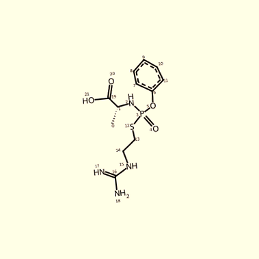 C[C@@H](NP(=O)(Oc1ccccc1)SCCNC(=N)N)C(=O)O